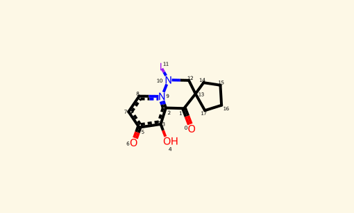 O=C1c2c(O)c(=O)ccn2N(I)CC12CCCC2